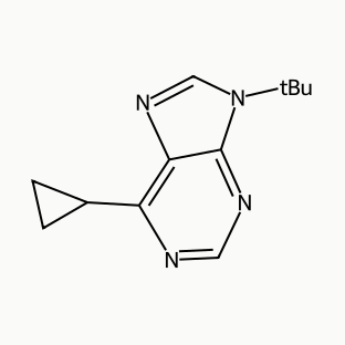 CC(C)(C)n1cnc2c(C3CC3)ncnc21